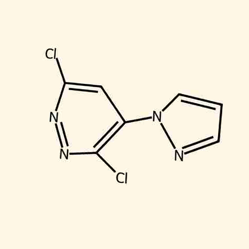 Clc1cc(-n2cccn2)c(Cl)nn1